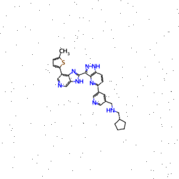 Cc1ccc(-c2cncc3[nH]c(-c4n[nH]c5ccc(-c6cncc(CNCC7CCCC7)c6)nc45)nc23)s1